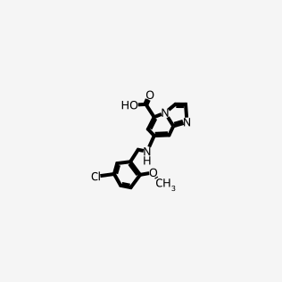 COc1ccc(Cl)cc1CNc1cc(C(=O)O)n2ccnc2c1